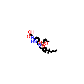 CCCCC(C)(C)c1ccc(CN(Cc2cccc(NCC(=O)O)n2)S(=O)(=O)c2ccc(C)o2)cc1